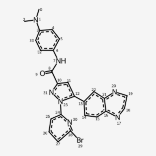 CN(C)c1ccc(NC(=O)c2cc(-c3ccc4nccnc4c3)n(-c3cccc(Br)n3)n2)cc1